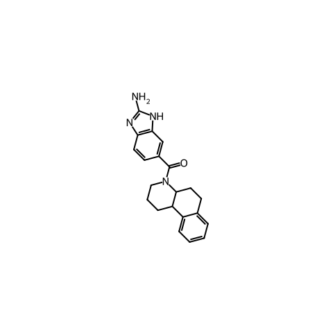 Nc1nc2ccc(C(=O)N3CCCC4c5ccccc5CCC43)cc2[nH]1